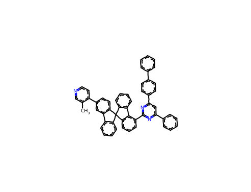 Cc1cnccc1-c1ccc2c(c1)-c1ccccc1C21c2ccccc2-c2c(-c3nc(-c4ccccc4)cc(-c4ccc(-c5ccccc5)cc4)n3)cccc21